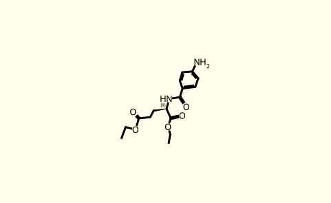 CCOC(=O)CC[C@@H](NC(=O)c1ccc(N)cc1)C(=O)OCC